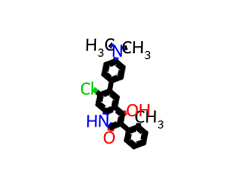 Cc1ccccc1-c1c(O)c2cc(-c3ccc(N(C)C)cc3)c(Cl)cc2[nH]c1=O